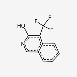 Oc1ncc2ccccc2c1C(F)(F)F